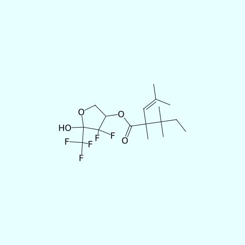 CCC(C)(C)C(C)(C=C(C)C)C(=O)OC1COC(O)(C(F)(F)F)C1(F)F